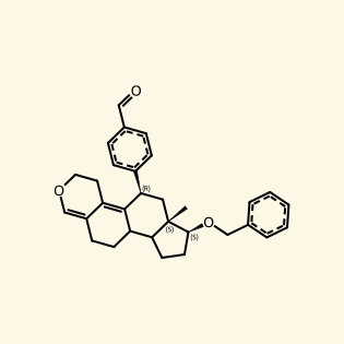 C[C@]12C[C@H](c3ccc(C=O)cc3)C3=C4CCOC=C4CCC3C1CC[C@@H]2OCc1ccccc1